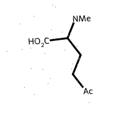 CNC(CCC(C)=O)C(=O)O